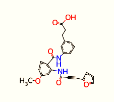 COc1ccc(C(=O)Nc2cccc(CCC(=O)O)c2)c(NC(=O)C#Cc2ccco2)c1